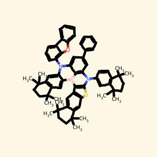 CC1(C)CCC(C)(C)c2cc(N3c4cc(-c5ccccc5)cc5c4B(c4cc6c(cc4N5c4cccc5c4oc4ccccc45)C(C)(C)CCC6(C)C)c4c3sc3cc5c(cc43)C(C)(C)CCC5(C)C)ccc21